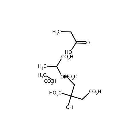 CC(=O)O.CC(O)C(=O)O.CCC(=O)O.O=C(O)CC(O)(CC(=O)O)C(=O)O